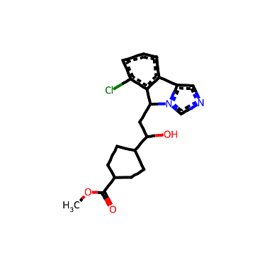 COC(=O)C1CCC(C(O)CC2c3c(Cl)cccc3-c3cncn32)CC1